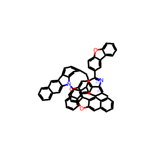 C/C1=C(c2ccc3oc4ccccc4c3c2)\N=C(\c2ccc3oc4ccccc4c3c2)C2Cc3ccc4c5cc6ccccc6cc5n(c4c3)-c3ccc4oc5cc6ccccc6cc5c4c3C2CC1